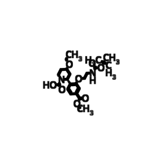 CCOC1CCN(C(=O)O)[C@H](c2ccc(C(=O)OC)cc2OCCNC(=O)OC(C)(C)C)C1